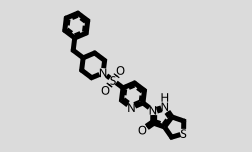 O=c1c2c([nH]n1-c1ccc(S(=O)(=O)N3CCC(Cc4ccccc4)CC3)cn1)CSC2